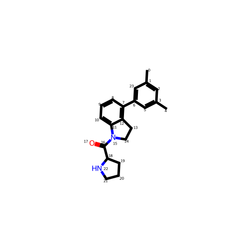 Cc1cc(C)cc(-c2cccc3c2CCN3C(=O)C2CCCN2)c1